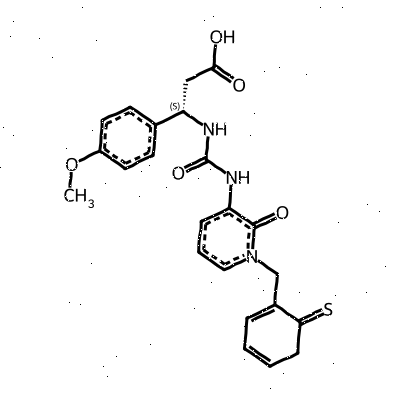 COc1ccc([C@H](CC(=O)O)NC(=O)Nc2cccn(CC3=CC=CCC3=S)c2=O)cc1